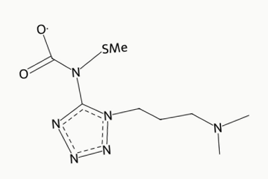 CSN(C([O])=O)c1nnnn1CCCN(C)C